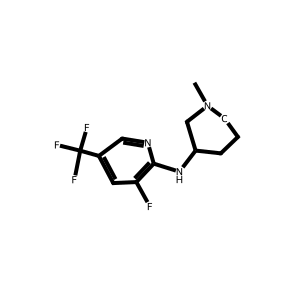 CN1CCCC(Nc2ncc(C(F)(F)F)cc2F)C1